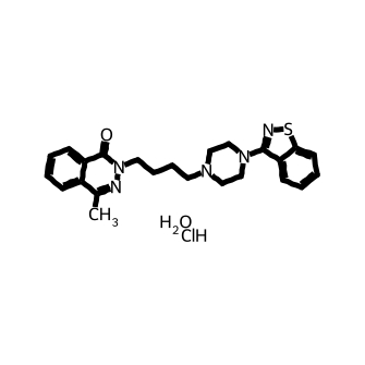 Cc1nn(CCCCN2CCN(c3nsc4ccccc34)CC2)c(=O)c2ccccc12.Cl.O